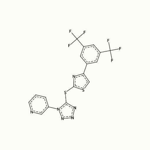 FC(F)(F)c1cc(-c2csc(Sc3nnnn3-c3cccnc3)n2)cc(C(F)(F)F)c1